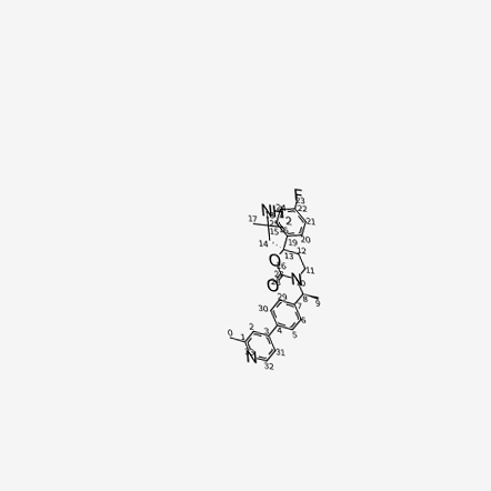 Cc1cc(-c2ccc([C@H](C)N3CC[C@](CC(C)(C)N)(c4ccc(F)cc4)OC3=O)cc2)ccn1